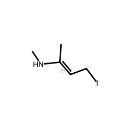 CN/C(C)=C/CI